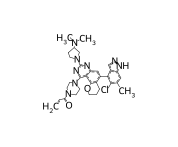 C=CC(=O)N1CCN(c2nc(N3CCC(N(C)C)C3)nc3cc(-c4c(Cl)c(C)cc5[nH]ncc45)c4c(c23)OCCC4)CC1